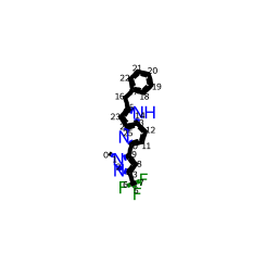 Cn1nc(C(F)(F)F)cc1-c1ccc2[nH]c(Cc3ccccc3)cc2n1